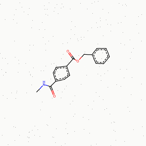 CNC(=O)c1ccc(C(=O)OCc2ccccc2)cc1